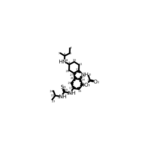 CC(=O)O.CCC(C)NC1CCc2[nH]c3ccc(NC(=S)NC(C)C)cc3c2C1